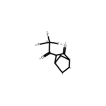 O=C1C2CCC(C2)C1C(=O)C(F)(F)F